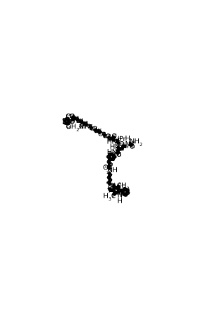 Cc1c2cc[n+](CCCCCNC(=O)OCc3ccc(NC(=O)C(CCCNC(N)=O)NC(=O)C(NC(=O)COCCOCCOCCN/C=C(\N)CCCC(=O)ON4C(=O)CCC4=O)C(C)C)cc3)cc2c(C)c2c1[nH]c1ccccc12